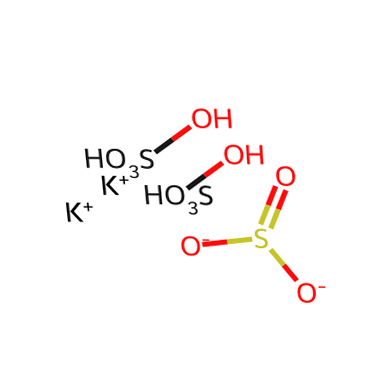 O=S(=O)(O)O.O=S(=O)(O)O.O=S([O-])[O-].[K+].[K+]